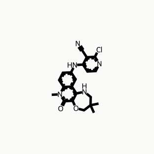 Cn1c(=O)c2c(c3cc(Nc4ccnc(Cl)c4C#N)ccc31)NCC(C)(C)CO2